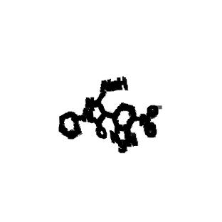 CC1=NN(c2ccccc2)C(=O)C1c1ccc([N+](=O)[O-])c2nsnc12.[NaH]